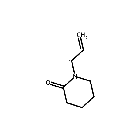 C=C[CH]N1CCCCC1=O